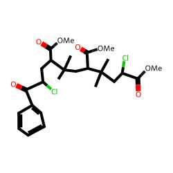 COC(=O)C(Cl)CC(C)(C)C(CC(C)(C)C(CC(Cl)C(=O)c1ccccc1)C(=O)OC)C(=O)OC